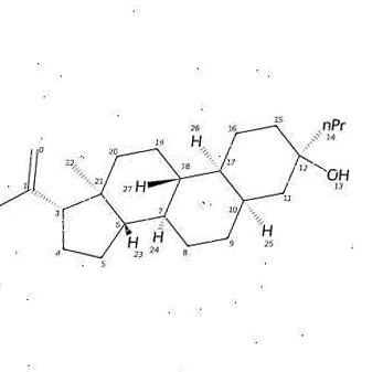 C=C(C)[C@H]1CC[C@H]2[C@@H]3CC[C@@H]4C[C@@](O)(CCC)CC[C@@H]4[C@H]3CC[C@]12C